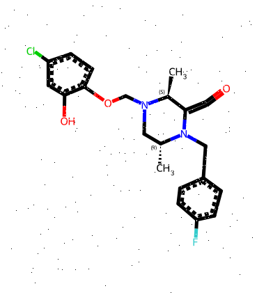 C[C@@H]1CN(COc2ccc(Cl)cc2O)[C@@H](C)C(=C=O)N1Cc1ccc(F)cc1